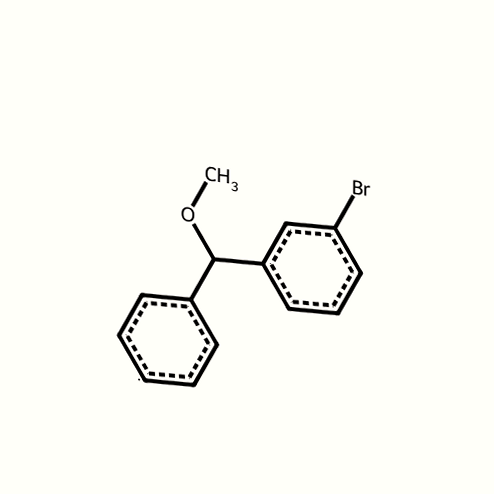 COC(c1cc[c]cc1)c1cccc(Br)c1